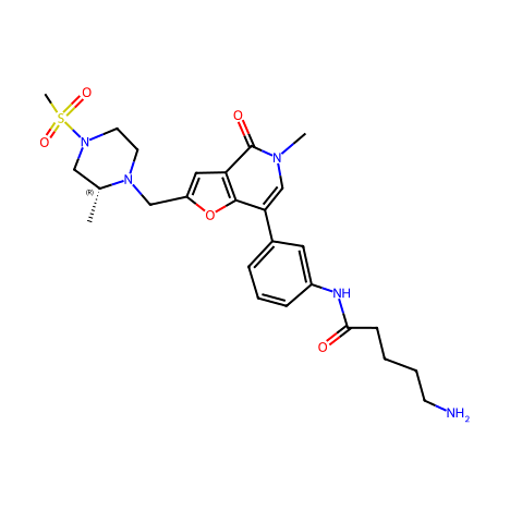 C[C@@H]1CN(S(C)(=O)=O)CCN1Cc1cc2c(=O)n(C)cc(-c3cccc(NC(=O)CCCCN)c3)c2o1